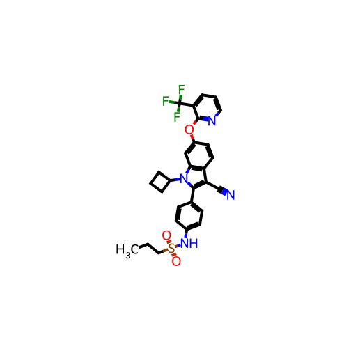 CCCS(=O)(=O)Nc1ccc(-c2c(C#N)c3ccc(Oc4ncccc4C(F)(F)F)cc3n2C2CCC2)cc1